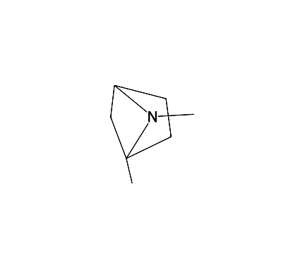 CN1C2CCC1(C)C2